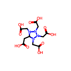 O=C(O)CC1N(CC(=O)O)N(CC(=O)O)N(CC(=O)O)N1CC(=O)O